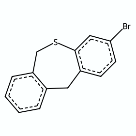 Brc1ccc2c(c1)SCc1ccccc1C2